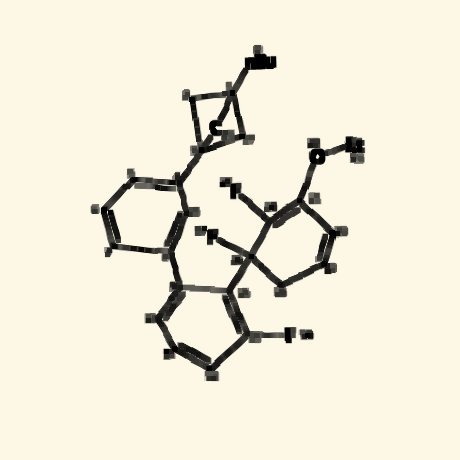 CCCCC12CC(c3cccc(-c4cccc(F)c4C4(F)CC=CC(OCC)=C4F)c3)(C1)C2